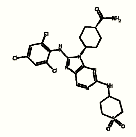 NC(=O)[C@H]1CC[C@@H](n2c(Nc3c(Cl)cc(Cl)cc3Cl)nc3cnc(NC4CCS(=O)(=O)CC4)nc32)CC1